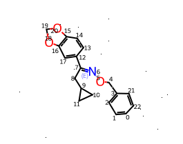 c1ccc(CO/N=C(\CC2CC2)c2ccc3c(c2)OCO3)cc1